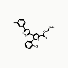 CSCOC(=O)c1cc(-c2nnc(-c3cccc(C)c3)s2)n(-c2ccccc2Cl)n1